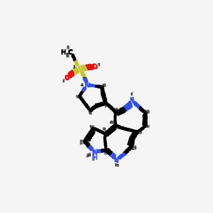 CS(=O)(=O)N1CCC(c2nccc3cnc4[nH]ccc4c23)C1